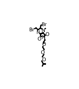 C=C(C)COCCOCCOCCN1C(=O)C2=C(C1=O)N(C)C(CBr)C(CBr)=N2